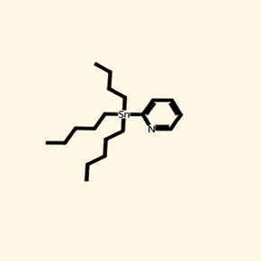 CCCC[CH2][Sn]([CH2]CCC)([CH2]CCCC)[c]1ccccn1